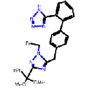 CCCC(OC)(OC)c1nc(Cc2ccc(-c3ccccc3-c3nnn[nH]3)cc2)n(CC(C)C)n1